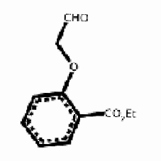 CCOC(=O)c1ccccc1OCC=O